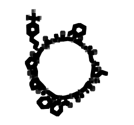 CC[C@H](C)[C@@H]1NC(=O)[C@H](C)N(C)C(=O)C[C@@H](C(=O)N2CCCCC2)N(C)C(=O)[C@H](C2CCCCC2)N(C)C(=O)C2(CCCC2)NC(=O)[C@@H]2CCCN2C(=O)[C@H](CCCc2ccc(C(F)(F)F)cc2)NC(=O)CN(C)C(=O)[C@H](CC2CCCCC2)N(C)C(=O)CN(C)C(=O)CN(C)C1=O